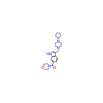 O=C(c1ccc2c(CN3CCN(C4CCCC4)CC3)c[nH]c2c1)N1CCOCC1